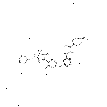 CN1CCC(N(C)C(=O)Nc2cc(Oc3ccc(NC(=O)C4(C(=O)NCc5ccccc5)CC4)c(F)c3)ccn2)CC1